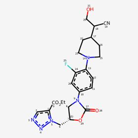 CCOC(=O)c1cnnn1C[C@@H]1CN(c2ccc(N3CCC(C(C#N)CO)CC3)c(F)c2)C(=O)O1